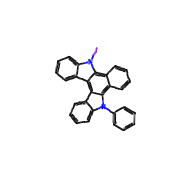 In1c2ccccc2c2c3c4ccccc4n(-c4ccccc4)c3c3ccccc3c21